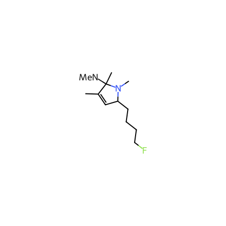 CNC1(C)C(C)=CC(CCCCF)N1C